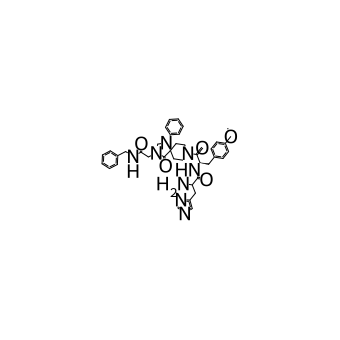 COc1ccc(C[C@@H](NC(=O)C(N)Cc2cncn2C)C(=O)N2CCC3(CC2)C(=O)N(CC(=O)NCc2ccccc2)CN3c2ccccc2)cc1